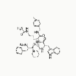 CNC(Cc1ccccc1)C(=O)N1CCCC[C@H]1C(=O)NC(Cc1c[nH]c2ccccc12)C(=O)NC(CCCNC(N)=O)C(=O)NCc1ccc(C)cc1